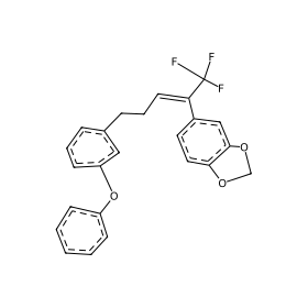 FC(F)(F)/C(=C/CCc1cccc(Oc2ccccc2)c1)c1ccc2c(c1)OCO2